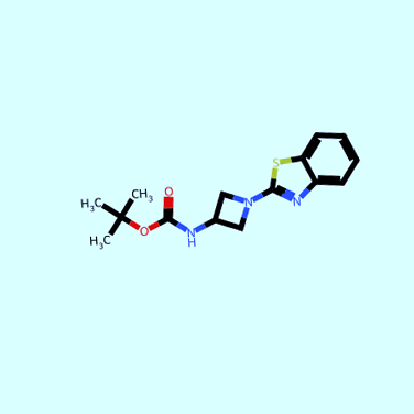 CC(C)(C)OC(=O)NC1CN(c2nc3ccccc3s2)C1